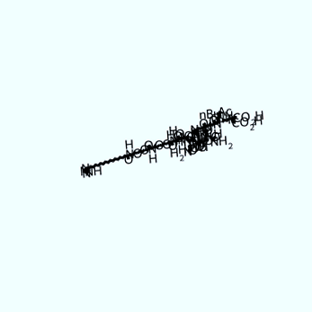 CCCC[C@H](NC(=O)[C@H](CCCCN(CC(=O)O)CC(=O)O)NC(=O)CCNC(=O)[C@H](Cc1c[nH]cn1)NC(=O)[C@H](CCC(N)=O)NC(=O)[C@H](CO)NC(=O)[C@H](CO)NC(=O)[C@H](CCC(N)=O)NC(=O)[C@@H](CO)NC(=O)CNC(=O)COCCOCCNC(=O)COCCOCCNC(=O)CCCCCCCCCCCCCCCc1nnn[nH]1)C(C)=O